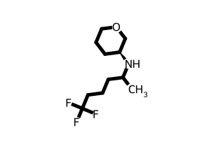 CC(CCCC(F)(F)F)N[C@H]1CCCOC1